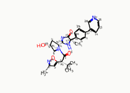 Cc1cc([C@H](C(=O)N2C[C@H](O)C[C@@H]2C2=NC(=O)[C@@](C)(c3ccc(-c4cccnc4)cc3)N2)C(C)C)on1